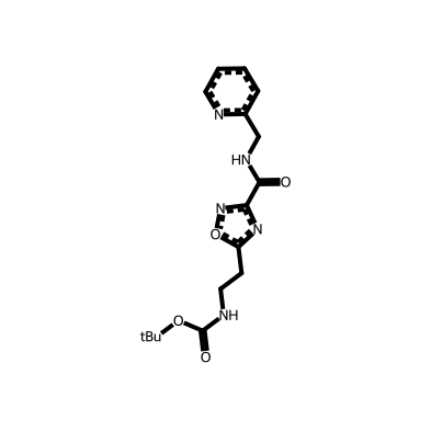 CC(C)(C)OC(=O)NCCc1nc(C(=O)NCc2ccccn2)no1